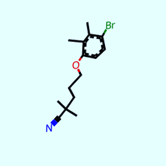 Cc1c(Br)ccc(OCCCC(C)(C)C#N)c1C